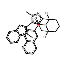 Cn1nc2c(c1-c1cc3ccccc3n1C)C[C@H]1CCC[C@@H]2N1C(=O)c1ccc2ncccc2c1